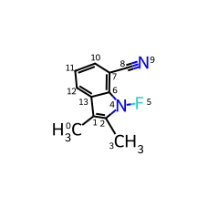 Cc1c(C)n(F)c2c(C#N)cccc12